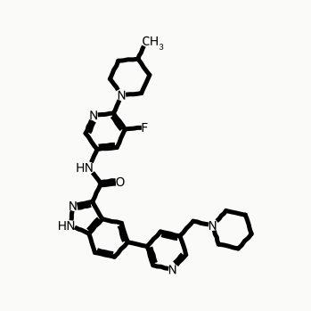 CC1CCN(c2ncc(NC(=O)c3n[nH]c4ccc(-c5cncc(CN6CCCCC6)c5)cc34)cc2F)CC1